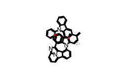 C=C(/C=C\c1c(C)c2ccccc2n1-c1cccc2c1c1c(-c3ccccc3)nc3cccc2n31)c1ccc2c(c1)c1ccccc1n2-c1ccccc1